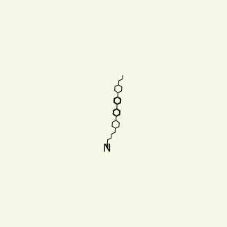 CCCC1CCC(c2ccc(-c3ccc(C4CCC(CCCCC#N)CC4)cc3)cc2)CC1